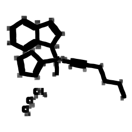 C.CCCCC#[C][Zr+2]([CH3])([C]1=CC=CC1)[CH]1C=Cc2ccccc21.[Cl-].[Cl-]